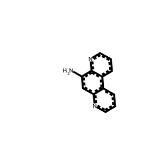 Nc1cc2ncccc2c2cccnc12